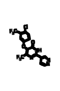 O=c1[nH]c(-c2ccnnc2)nc(C(F)(F)F)c1Oc1ccc(Cl)c(C(F)(F)F)c1